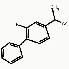 CC(=O)C(C)c1ccc(-c2ccccc2)c(F)c1